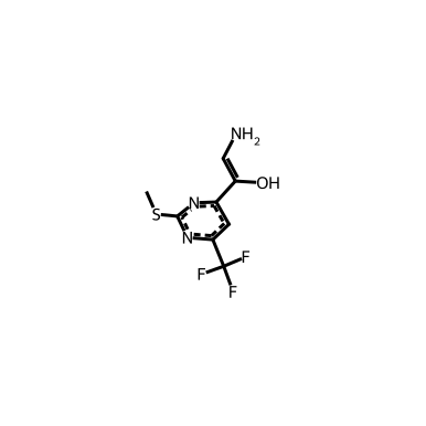 CSc1nc(/C(O)=C/N)cc(C(F)(F)F)n1